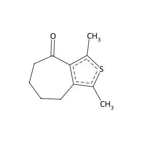 Cc1sc(C)c2c1CCCCC2=O